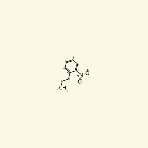 CCCc1ccccc1[N+](=O)[O-]